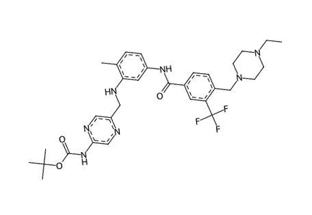 CCN1CCN(Cc2ccc(C(=O)Nc3ccc(C)c(NCc4cnc(NC(=O)OC(C)(C)C)cn4)c3)cc2C(F)(F)F)CC1